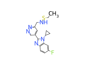 CCSNCc1cc(-c2nc3ccc(F)cc3n2C2CC2)cnn1